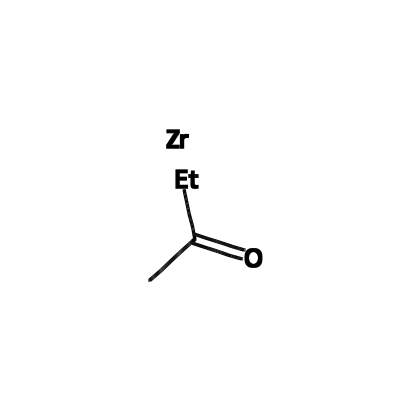 CCC(C)=O.[Zr]